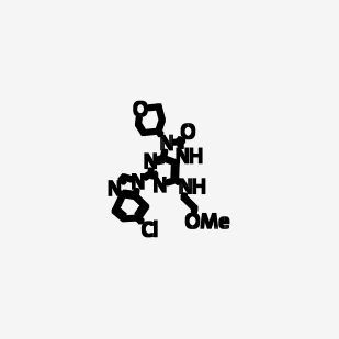 COCCNc1nc(-n2cnc3ccc(Cl)cc32)nc2c1[nH]c(=O)n2C1CCOCC1